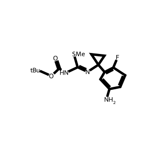 CS/C(=N\C1(c2cc(N)ccc2F)CC1)NC(=O)OC(C)(C)C